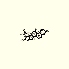 CCCCC(=O)O[C@]1(C(=O)CO)C(C)C[C@H]2[C@@H]3CCC4=CC(=O)C=C[C@]4(C)[C@@]3(Cl)C(Cl)C[C@@]21C